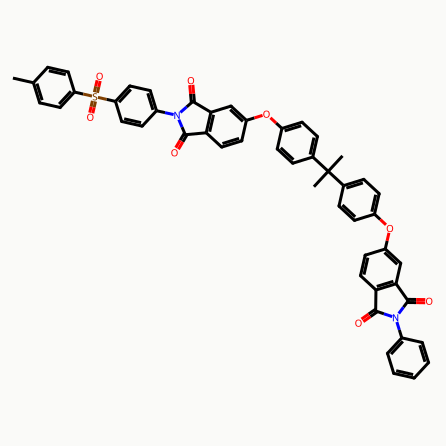 Cc1ccc(S(=O)(=O)c2ccc(N3C(=O)c4ccc(Oc5ccc(C(C)(C)c6ccc(Oc7ccc8c(c7)C(=O)N(c7ccccc7)C8=O)cc6)cc5)cc4C3=O)cc2)cc1